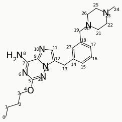 CCCCOc1nc(N)c2ncc(Cc3cccc(CN4CCN(C)CC4)c3)n2n1